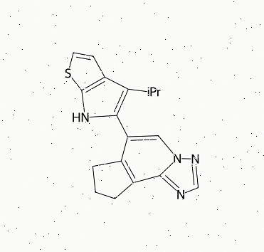 CC(C)c1c(-c2cn3ncnc3c3c2CCC3)[nH]c2sccc12